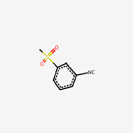 [C-]#[N+]c1cccc(S(C)(=O)=O)c1